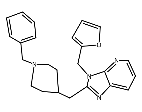 c1ccc(CN2CCC(Cc3nc4cccnc4n3Cc3ccco3)CC2)cc1